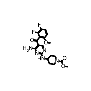 COC(=O)N1CCC(Nc2ncc(C(=O)c3c(OC)ccc(F)c3F)c(N)n2)CC1